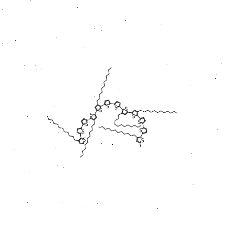 CCCCCCCCCCCCc1ccsc1-c1ccc(-c2ccc(-c3sc(-c4cc(CCCCCCCCCCCC)c(-c5ccc(-c6ccc(-c7sc(-c8cc(CCCCCCCCCCCC)c(-c9ccc(-c%10ccc(-c%11sc(C)cc%11CCCCCCCCCCCC)s%10)s9)s8)cc7CCCCCCCCCCCC)s6)s5)s4)cc3CCCCCCCCCCCC)s2)s1